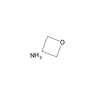 C1COC1.N